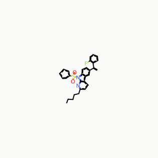 C=C(c1ccc2c(c1)c1ccc(CCCCC)nc1n2S(=O)(=O)c1ccccc1)c1ccccc1F